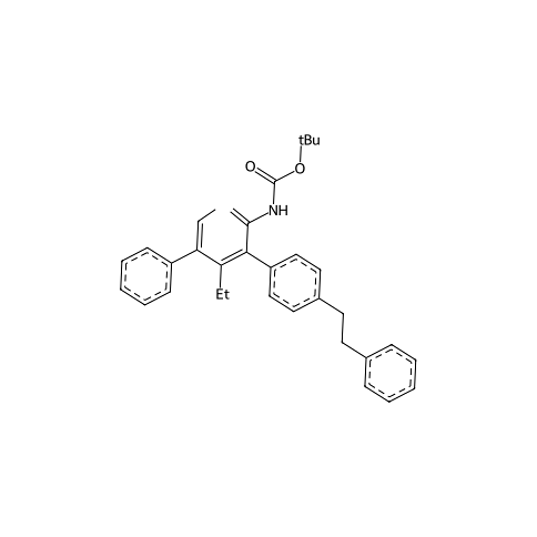 C=C(NC(=O)OC(C)(C)C)/C(=C(CC)\C(=C/C)c1ccccc1)c1ccc(CCc2ccccc2)cc1